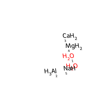 O.O.[AlH3].[CaH2].[MgH2].[NaH]